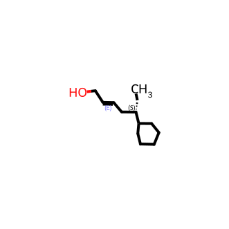 CC[C@@H](C/C=C/CO)C1CCCCC1